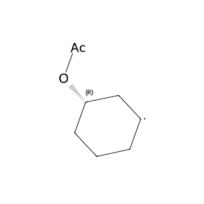 CC(=O)O[C@@H]1C[CH]CCC1